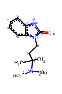 CC(C)(C)N(C(=O)O)C(C)(C)CCn1c(=O)[nH]c2ccccc21